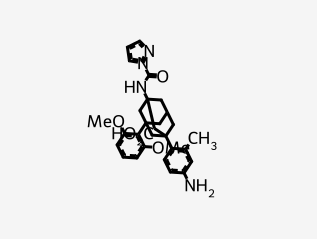 COc1cccc(OC)c1C12CC3CC(NC(=O)n4cccn4)(C1)C(C(=O)O)C(c1ccc(N)cc1C)(C3)C2